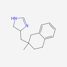 CC1(CC2CNC=N2)CCc2ccccc2C1